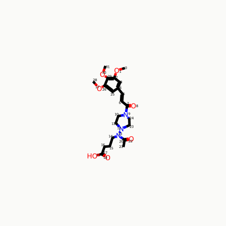 COc1cc(C=CC(=O)N2CCN(N(CCCC(=O)O)C(C)=O)CC2)cc(OC)c1OC